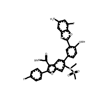 CNC(=O)c1c(-c2ccc(F)cc2)oc2cc(N(C)S(C)(=O)=O)c(-c3ccc(OC)c(-c4nc5cc(N)cc(F)c5o4)c3)cc12